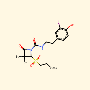 CCC1(CC)C(=O)N(C(=O)NCCc2ccc(O)c(I)c2)C1S(=O)(=O)CCOC